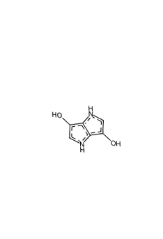 Oc1c[nH]c2c(O)c[nH]c12